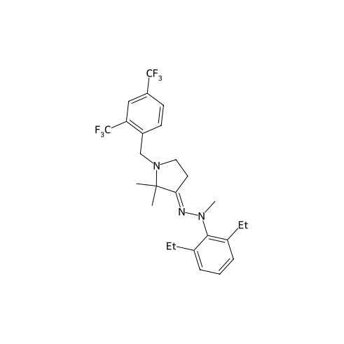 CCc1cccc(CC)c1N(C)/N=C1\CCN(Cc2ccc(C(F)(F)F)cc2C(F)(F)F)C1(C)C